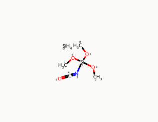 CO[Si](N=C=O)(OC)OC.[SiH4]